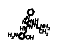 CC(N)CNc1nc(NCc2cc(N)ccc2O)c2ncn(C3CCCCC3)c2n1